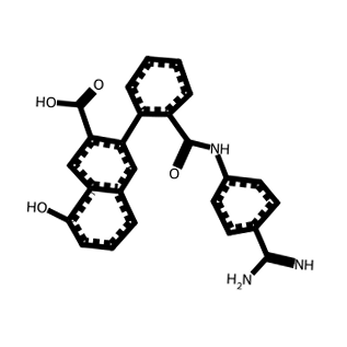 N=C(N)c1ccc(NC(=O)c2ccccc2-c2cc3cccc(O)c3cc2C(=O)O)cc1